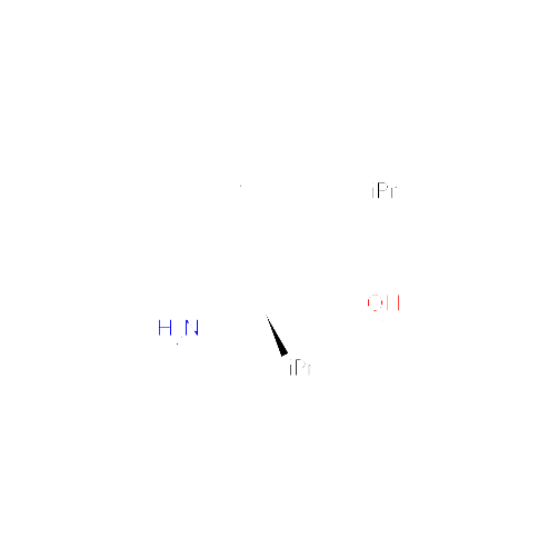 CC(C)[C@@H](N)[C@H](C)[C@@H](O)C(C)C